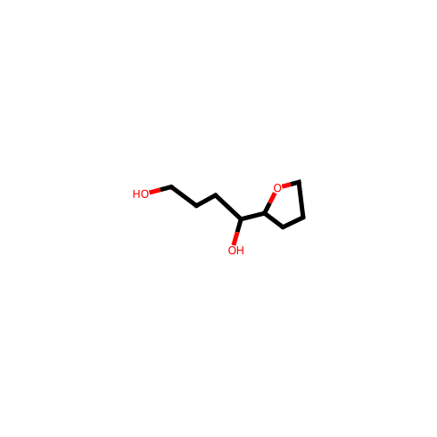 OCCCC(O)C1CCCO1